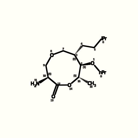 CCCO[C@@H]1[C@@H](CCC(C)C)COC[C@H](N)C(=O)O[C@H]1C